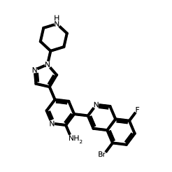 Nc1ncc(-c2cnn(C3CCNCC3)c2)cc1-c1cc2c(Br)ccc(F)c2cn1